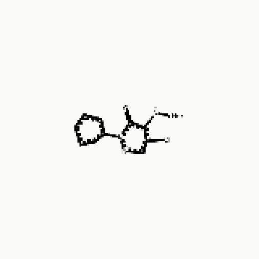 CCCCCCNc1c(Cl)cnn(-c2ccccc2)c1=O